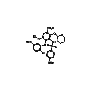 CCOc1cc(C(=O)O)c(OC2CCCCO2)c(NS(=O)(=O)c2ccc(OC)cc2)c1Oc1cc(OC)ccc1Cl